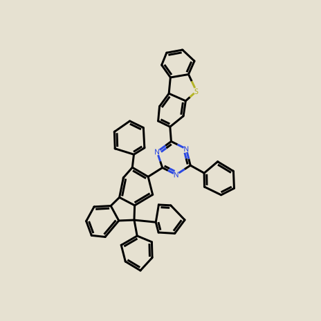 c1ccc(-c2nc(-c3ccc4c(c3)sc3ccccc34)nc(-c3cc4c(cc3-c3ccccc3)-c3ccccc3C4(c3ccccc3)c3ccccc3)n2)cc1